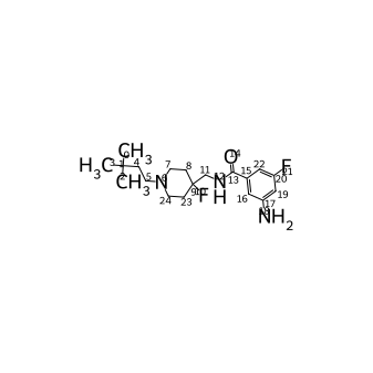 CC(C)(C)CCN1CCC(F)(CNC(=O)c2cc(N)cc(F)c2)CC1